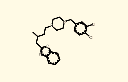 CC(CCN1CCN(Cc2ccc(Cl)c(Cl)c2)CC1)Cc1nc2ccccc2o1